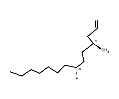 C=CC[C@@H]([SiH3])CC[C@H](C)CCCCCCC